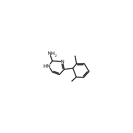 CC1=CC=CC(C)C1C1=NC(N)NC=C1